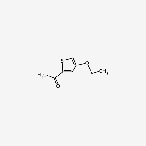 CCOc1csc(C(C)=O)c1